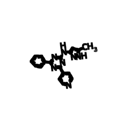 Cc1cc(Nc2nc(-c3ccccc3)nc(-c3ccncc3)n2)n[nH]1